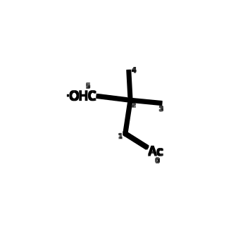 CC(=O)CC(C)(C)[C]=O